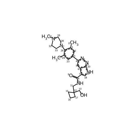 Cc1cc(-c2cc3c(C(=O)NCC4(CO)CCC4)c[nH]c3nn2)cc(C)c1N1CCN(C)CC1